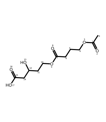 CC(=O)OCCCC(=O)OCCC(O)CC(=O)O